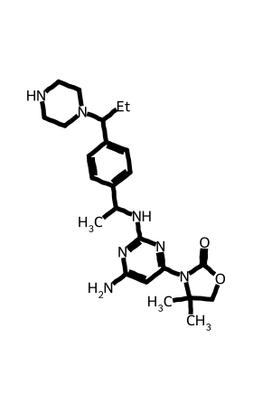 CCC(c1ccc(C(C)Nc2nc(N)cc(N3C(=O)OCC3(C)C)n2)cc1)N1CCNCC1